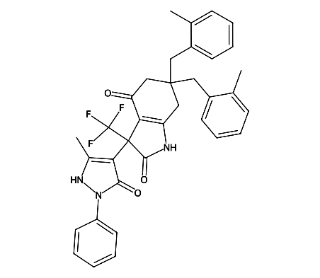 Cc1ccccc1CC1(Cc2ccccc2C)CC(=O)C2=C(C1)NC(=O)C2(c1c(C)[nH]n(-c2ccccc2)c1=O)C(F)(F)F